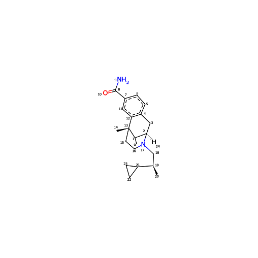 CC1[C@H]2Cc3ccc(C(N)=O)cc3[C@@]1(C)CCN2C[C@@H](C)C1CC1